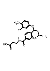 Cc1ccc(OC(CC(C)C)c2ccc(C(=O)NCCC(=O)O)cc2)cc1Cl